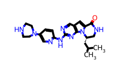 CC(C)C[C@H]1CNC(=O)c2cc3cnc(Nc4ccc(N5CCNCC5)cn4)nc3n21